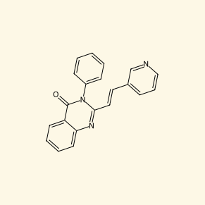 O=c1c2ccccc2nc(/C=C/c2cccnc2)n1-c1ccccc1